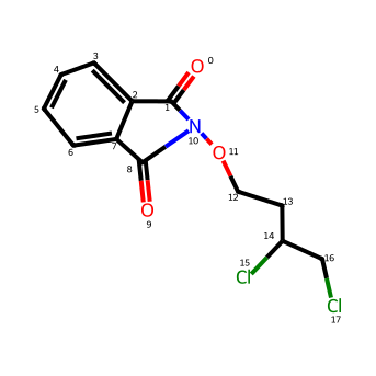 O=C1c2ccccc2C(=O)N1OCCC(Cl)CCl